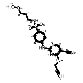 C#CCNc1nc(Nc2ccc(S(=O)(=O)NCCCOC)cc2)ncc1C#N